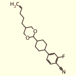 C=CCCCC1COC(C2CCC(c3ccc(C#N)c(F)c3)CC2)OC1